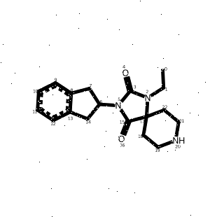 CCN1C(=O)N(C2Cc3ccccc3C2)C(=O)C12CCNCC2